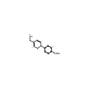 COc1ccc(C2C=CC(CO)=CC2)cc1